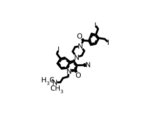 CN(C)CCCn1c(=O)c(C#N)c(N2CCN(C(=O)c3ccc(CI)c(CI)c3)CC2)c2cc(CI)ccc21